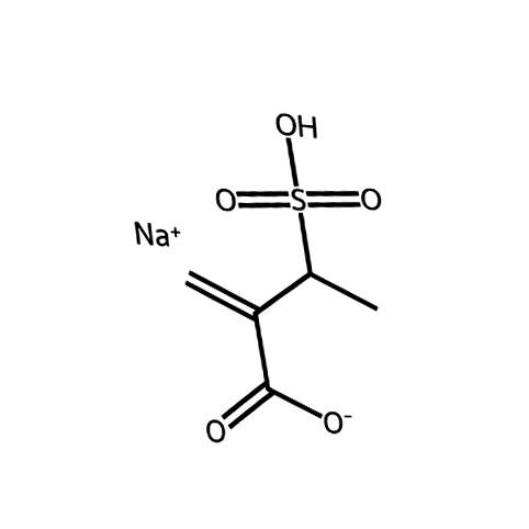 C=C(C(=O)[O-])C(C)S(=O)(=O)O.[Na+]